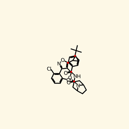 CC(C)(C)c1ccc(C(=O)NC(=O)N2C3CCC2CC(OCc2c(-c4c(Cl)cccc4Cl)noc2C2CC2)C3)cc1